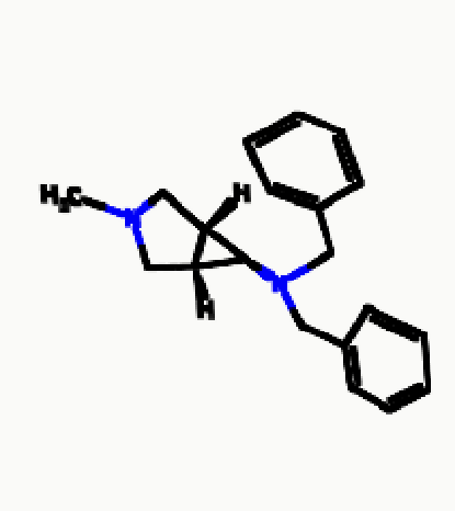 CN1C[C@@H]2[C@H](C1)[C@H]2N(Cc1ccccc1)Cc1ccccc1